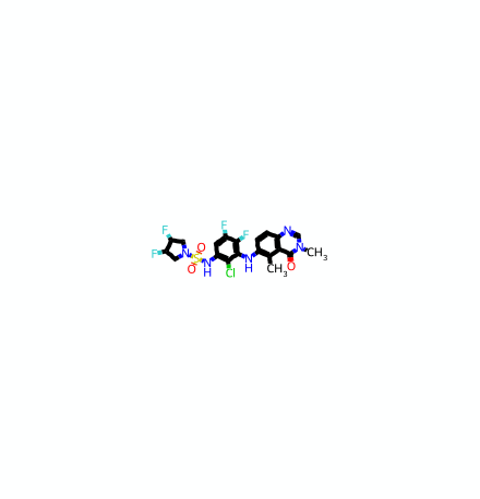 Cc1c(Nc2c(F)c(F)cc(NS(=O)(=O)N3CC(F)C(F)C3)c2Cl)ccc2ncn(C)c(=O)c12